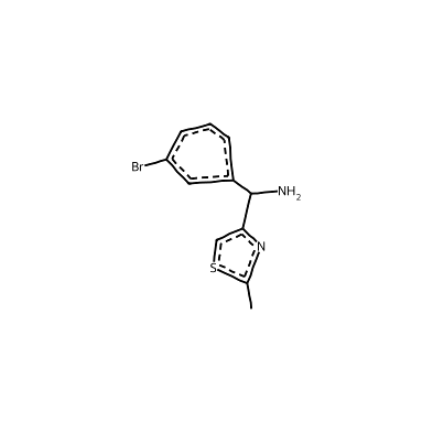 Cc1nc(C(N)c2cccc(Br)c2)cs1